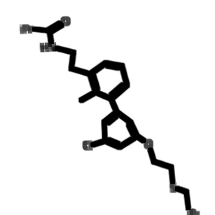 Cc1c(CCNC(=O)C(C)C)cccc1-c1cc(Cl)cc(OCCSCC(C)C)c1